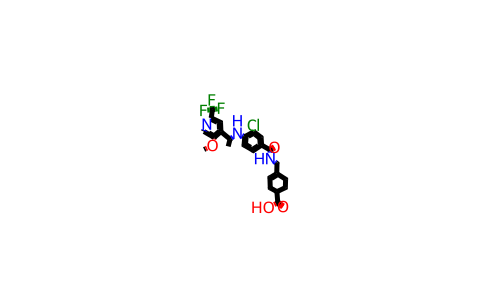 COc1cnc(C(F)(F)F)cc1C(C)Nc1ccc(C(=O)NCC2=CCC(C(=O)O)CC2)cc1Cl